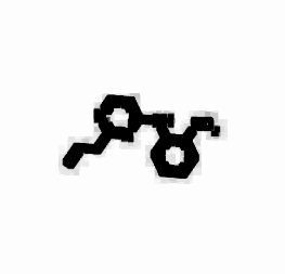 C=CCc1nccc(Nc2ccccc2[N+](=O)[O-])n1